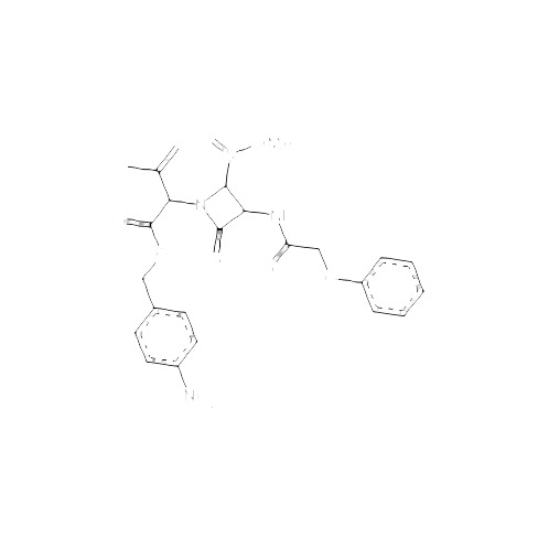 C=C(C)C(C(=O)OCc1ccc([N+](=O)[O-])cc1)N1C(=O)C(NC(=O)COc2ccccc2)C1S(=O)OC